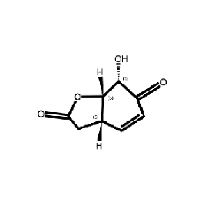 O=C1C[C@H]2C=CC(=O)[C@@H](O)[C@H]2O1